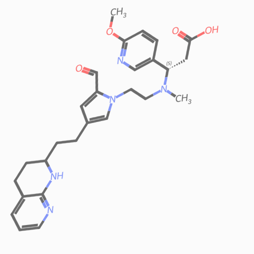 COc1ccc([C@H](CC(=O)O)N(C)CCn2cc(CCC3CCc4cccnc4N3)cc2C=O)cn1